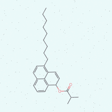 CCCCCCCCCc1ccc2cccc3c2c1C=CC3OC(=O)C(C)C